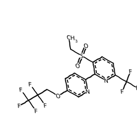 CCS(=O)(=O)c1ccc(C(F)(F)F)nc1-c1ccc(OCC(F)(F)C(F)(F)F)cn1